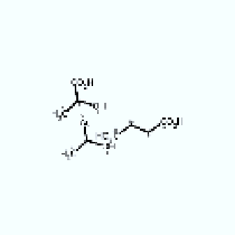 CC(=O)C(C)O.CC(O)C(=O)O.O=C(O)CCC(=O)O